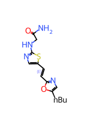 CCCCc1cnc(/C=C/c2cnc(NCC(N)=O)s2)o1